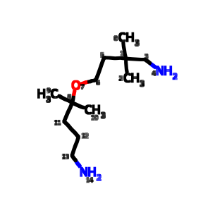 CC(C)(CN)CCOC(C)(C)CCCN